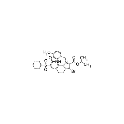 Cc1ccc(Cn2c(C(=O)OC(C)C)c(Br)c3c2-c2[nH]c(=O)c(S(=O)(=O)c4ccccc4)cc2CC3)cc1